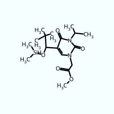 COC(=O)Cn1cc(C(O[SiH](C)C)C(C)(C)C)c(=O)n(C(C)C)c1=O